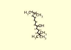 CCN(CC)CCCCC[C@@H](O)CCCC(C)(C)C